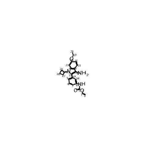 C=COC(=O)Nc1cccc(-c2c(N)c3ccc(OCC)cc3n2C2CCC2)c1